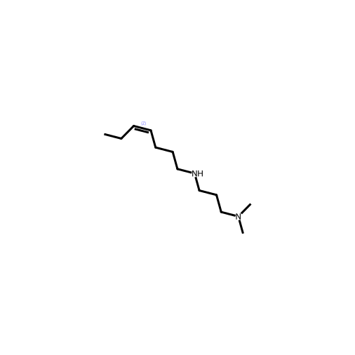 CC/C=C\CCCNCCCN(C)C